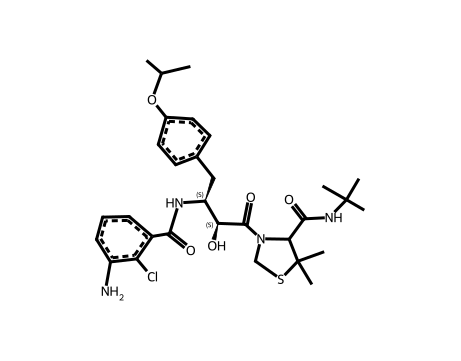 CC(C)Oc1ccc(C[C@H](NC(=O)c2cccc(N)c2Cl)[C@H](O)C(=O)N2CSC(C)(C)C2C(=O)NC(C)(C)C)cc1